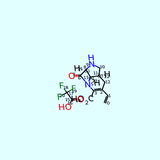 C=CC1=C(C(=O)O)N2C(=O)[C@H]3NC[C@@H](C1)[C@H]32.O=C(O)C(F)(F)F